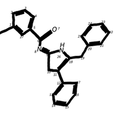 Cc1cccc(C(=O)/N=C2/CC(c3ccccc3)=C(Cc3ccccc3)N2)c1